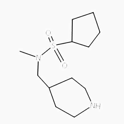 CN(CC1CCNCC1)S(=O)(=O)C1CCCC1